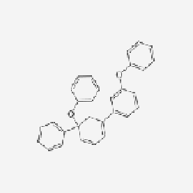 C1=CC(Oc2ccccc2)(c2ccccc2)CC(c2cccc(Oc3ccccc3)c2)=C1